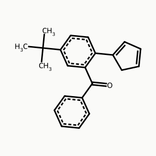 CC(C)(C)c1ccc(C2=CC=CC2)c(C(=O)c2ccccc2)c1